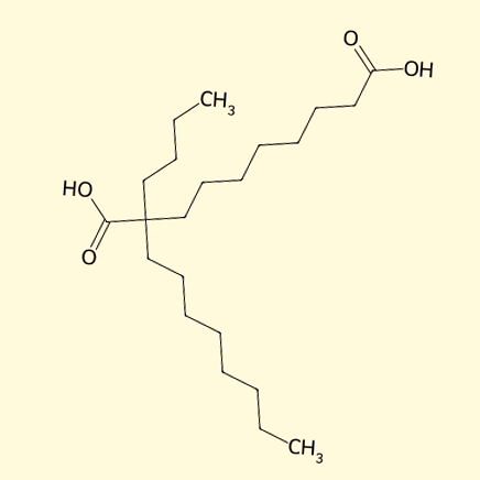 CCCCCCCCC(CCCC)(CCCCCCCC(=O)O)C(=O)O